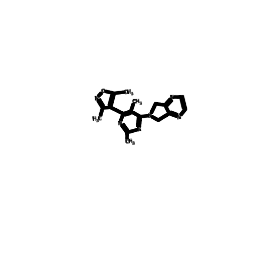 Cc1nc(-c2c(C)noc2C)c(C)c(N2Cc3nccnc3C2)n1